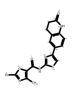 CCc1nc(C)c(C(=O)Nc2nc(-c3ccc4c(c3)CCC(=O)N4)cs2)o1